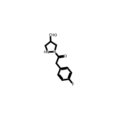 O=CC1CNN(C(=O)Cc2ccc(F)cc2)C1